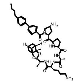 CCCCc1ccc(-c2ccc(C(=O)N3C[C@@H](N)C[C@H]3C(=O)C3CC[C@@H](C(=O)N[C@@H](C)C(=O)N[C@@H](CCCCN)C(=O)N[C@@H](C)B4OC5C[C@@H]6C[C@@H](C6(C)C)[C@]5(C)O4)N3)cc2)cc1